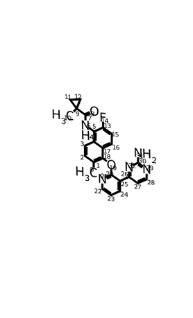 Cc1ccc2c(NC(=O)C3(C)CC3)c(F)ccc2c1Oc1ncccc1-c1ccnc(N)n1